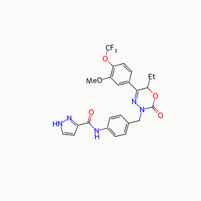 CCC1OC(=O)N(Cc2ccc(NC(=O)c3cc[nH]n3)cc2)N=C1c1ccc(OC(F)(F)F)c(OC)c1